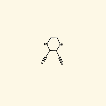 N#CC1NCCNC1C#N